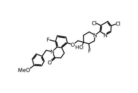 COc1ccc(CN2C(=O)CCc3c(OCC4(O)CCN(c5ncc(Cl)cc5Cl)CC4F)ccc(F)c32)cc1